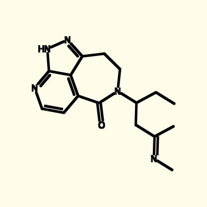 CCC(C/C(C)=N/C)N1CCc2n[nH]c3nccc(c23)C1=O